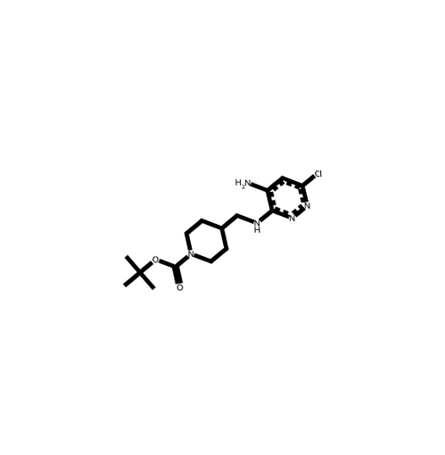 CC(C)(C)OC(=O)N1CCC(CNc2nnc(Cl)cc2N)CC1